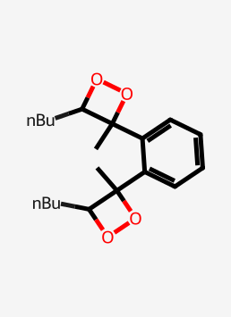 CCCCC1OOC1(C)c1ccccc1C1(C)OOC1CCCC